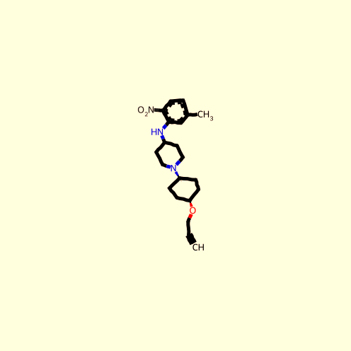 C#CCO[C@H]1CC[C@@H](N2CCC(Nc3cc(C)ccc3[N+](=O)[O-])CC2)CC1